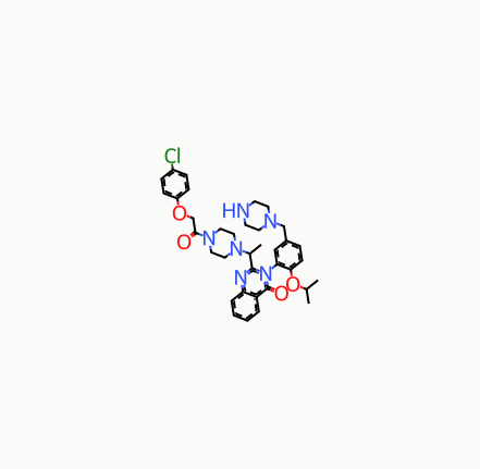 CC(C)Oc1ccc(CN2CCNCC2)cc1-n1c(C(C)N2CCN(C(=O)COc3ccc(Cl)cc3)CC2)nc2ccccc2c1=O